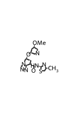 COc1cncc(Oc2cc(C(=O)Nc3nc(C)cs3)c3nncn3c2)c1